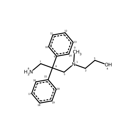 CN(CCO)CC(CN)(c1ccccc1)c1ccccc1